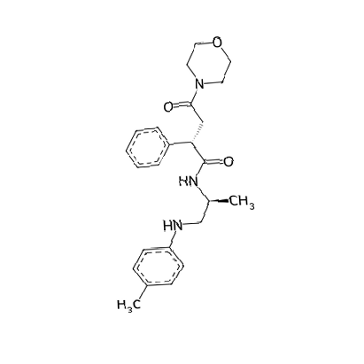 Cc1ccc(NC[C@H](C)NC(=O)[C@@H](CC(=O)N2CCOCC2)c2ccccc2)cc1